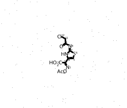 CC(=O)O/N=C(\C(=O)O)c1cs/c(=N/C(=O)CCl)[nH]1